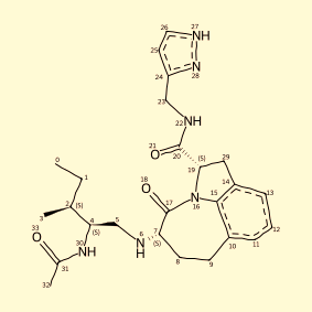 CC[C@H](C)[C@@H](CN[C@H]1CCc2cccc3c2N(C1=O)[C@H](C(=O)NCc1cc[nH]n1)C3)NC(C)=O